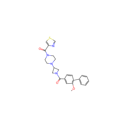 COc1cc(C(=O)N2CC(N3CCN(C(=O)c4cscn4)CC3)C2)ccc1-c1ccccc1